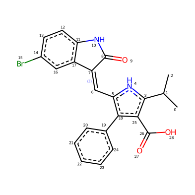 CC(C)c1[nH]c(/C=C2\C(=O)Nc3ccc(Br)cc32)c(-c2ccccc2)c1C(=O)O